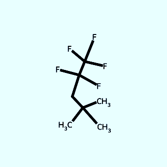 CC(C)(C)CC(F)(F)C(F)(F)F